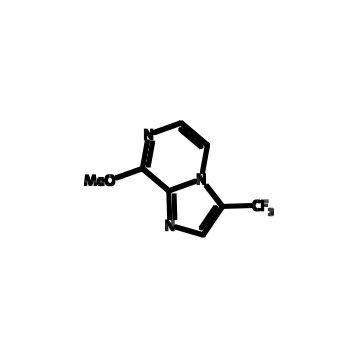 COc1nccn2c(C(F)(F)F)cnc12